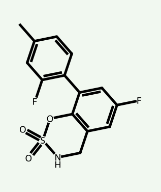 Cc1ccc(-c2cc(F)cc3c2OS(=O)(=O)NC3)c(F)c1